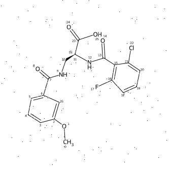 COc1cccc(C(=O)NC[C@H](NC(=O)c2c(F)cccc2Cl)C(=O)O)c1